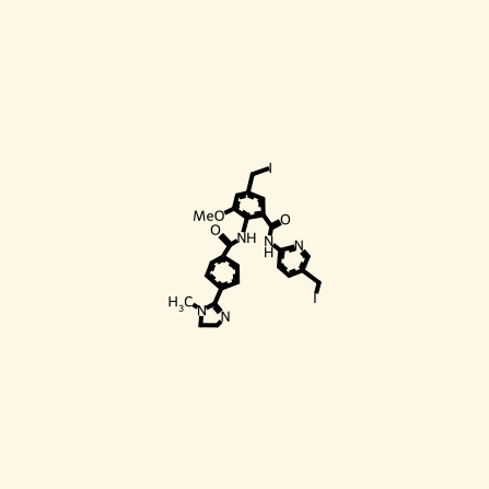 COc1cc(CI)cc(C(=O)Nc2ccc(CI)cn2)c1NC(=O)c1ccc(C2=NCCN2C)cc1